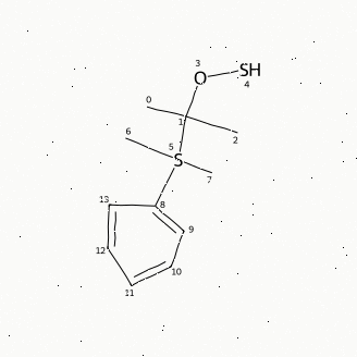 CC(C)(OS)S(C)(C)c1ccccc1